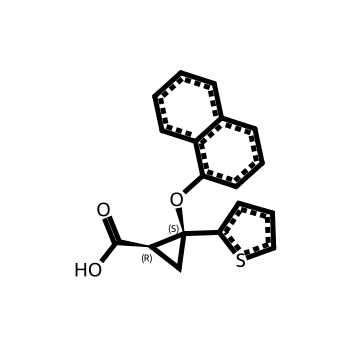 O=C(O)[C@@H]1C[C@@]1(Oc1cccc2ccccc12)c1cccs1